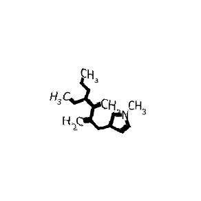 C=C(CC1C=CN(C)C1)C(C)C(CC)CCC